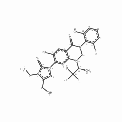 CCn1c(CO)nn(-c2nc3c(cc2F)C(=O)N(c2c(F)cccc2Cl)CN3[C@@H](C)C(F)(F)F)c1=O